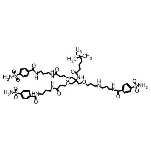 CC(C)(C)CCCC(=O)NC(COCCCNCCCNC(=O)c1ccc(S(N)(=O)=O)cc1)(COCCC(=O)NCCCNC(=O)c1ccc(S(N)(=O)=O)cc1)COCCC(=O)NCCCNC(=O)c1ccc(S(N)(=O)=O)cc1